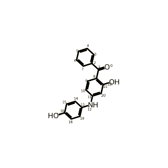 O=C(c1ccccc1)c1ccc(Nc2ccc(O)cc2)cc1O